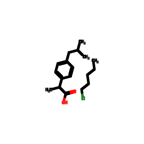 CC(C)Cc1ccc(C(C)C(=O)O)cc1.CCCCCCl